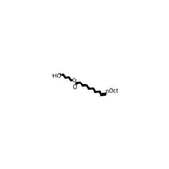 CCCCCCCC/C=C\CCCCCCCC(=O)OCCCCO